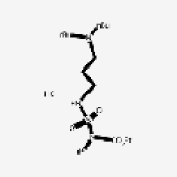 CCCCN(CCCC)CCCNS(=O)(=O)N(C(=O)OCC)C(C)C.Cl